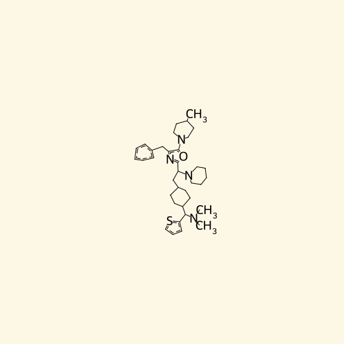 CC1CCN(c2oc(C(CC3CCC(C(c4cccs4)N(C)C)CC3)N3CCCCC3)nc2Cc2ccccc2)CC1